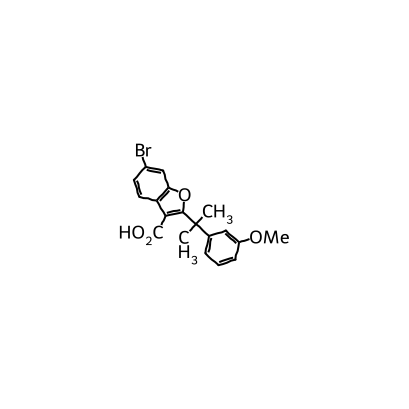 COc1cccc(C(C)(C)c2oc3cc(Br)ccc3c2C(=O)O)c1